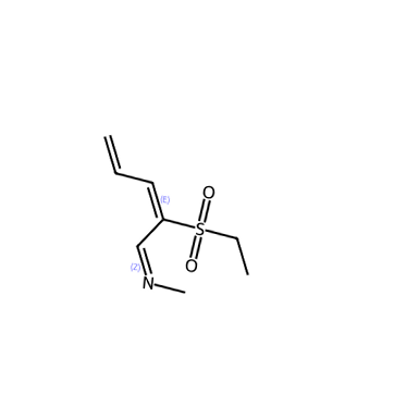 C=C/C=C(\C=N/C)S(=O)(=O)CC